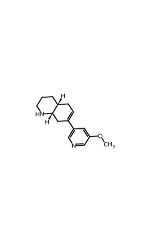 COc1cncc(C2=CC[C@H]3CCCN[C@H]3C2)c1